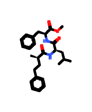 COC(=O)[C@H](Cc1ccccc1)NC(=O)[C@H](CC(C)C)NC(=O)[C@@H](C)CCc1ccccc1